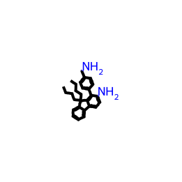 CCCCC1(CCCC)c2ccccc2-c2ccc(N)c(-c3ccc(CN)cc3)c21